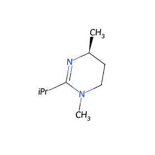 CC(C)C1=N[C@@H](C)CCN1C